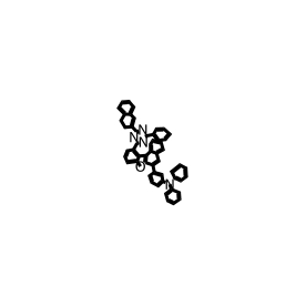 C1=C(c2nc(-c3ccccc3)nc(-c3cccc4oc5c(-c6cccc(N(c7ccccc7)c7ccccc7)c6)cc6ccccc6c5c34)n2)CCc2ccccc21